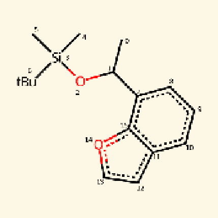 CC(O[Si](C)(C)C(C)(C)C)c1cccc2ccoc12